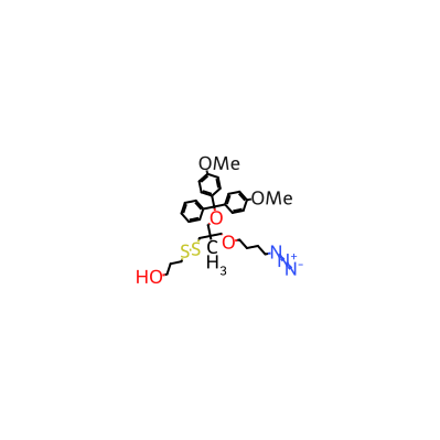 COc1ccc(C(OCC(C)(COCCCCN=[N+]=[N-])CSSCCCO)(c2ccccc2)c2ccc(OC)cc2)cc1